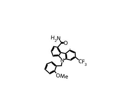 COc1ccccc1Cn1c2cc(C(F)(F)F)c[c]c2c2c(C(N)=O)cccc21